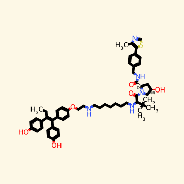 CCC(=C(c1ccc(O)cc1)c1ccc(OCCNCCCCCCCNC(C(=O)N2C[C@H](O)C[C@H]2C(=O)NCc2ccc(-c3scnc3C)cc2)C(C)(C)C)cc1)c1ccc(O)cc1